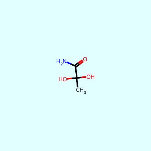 CC(O)(O)C(N)=O